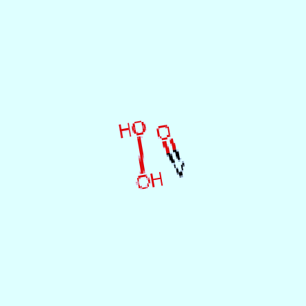 OO.[O]=[V]